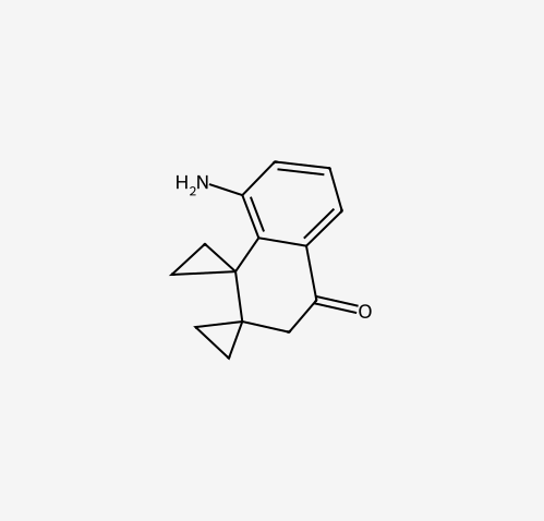 Nc1cccc2c1C1(CC1)C1(CC1)CC2=O